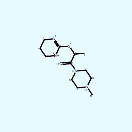 CC(SC1=NCCCN1)C(=O)N1CCN(C)CC1